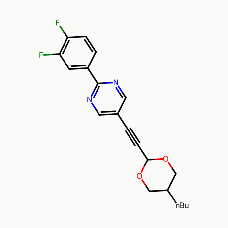 CCCCC1COC(C#Cc2cnc(-c3ccc(F)c(F)c3)nc2)OC1